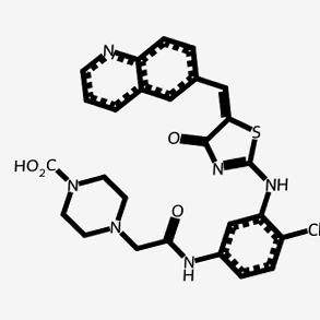 O=C(CN1CCN(C(=O)O)CC1)Nc1ccc(Cl)c(NC2=NC(=O)C(=Cc3ccc4ncccc4c3)S2)c1